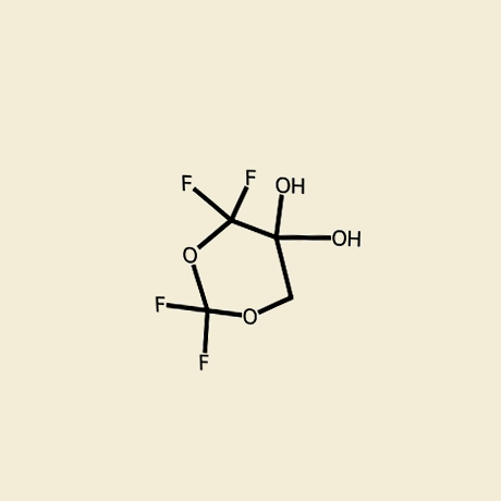 OC1(O)COC(F)(F)OC1(F)F